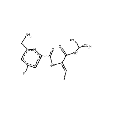 C/C=C(\NC(=O)c1cc(F)cc(CN)n1)C(=O)N[C@H](C(=O)O)C(C)C